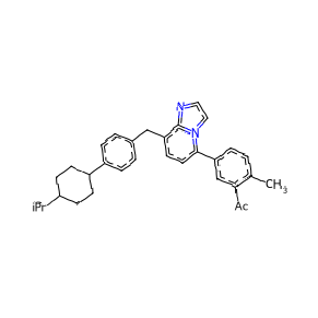 CC(=O)c1cc(-c2ccc(Cc3ccc(C4CCC(C(C)C)CC4)cc3)c3nccn23)ccc1C